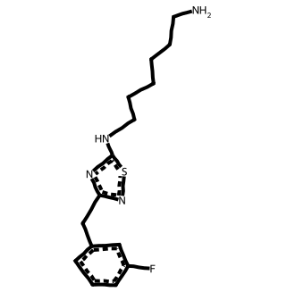 NCCCCCCNc1nc(Cc2cccc(F)c2)ns1